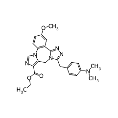 CCOC(=O)c1ncn2c1Cn1c(Cc3ccc(N(C)C)cc3)nnc1-c1cc(OC)ccc1-2